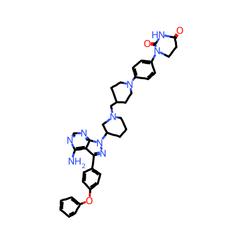 Nc1ncnc2c1c(-c1ccc(Oc3ccccc3)cc1)nn2C1CCCN(CC2CCN(c3ccc(N4CCC(=O)NC4=O)cc3)CC2)C1